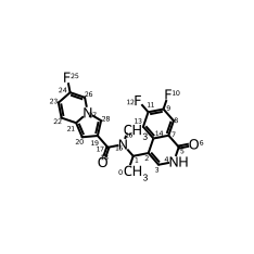 CC(c1c[nH]c(=O)c2cc(F)c(F)cc12)N(C)C(=O)c1cc2ccc(F)cn2c1